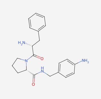 Nc1ccc(CNC(=O)[C@@H]2CCCN2C(=O)[C@H](N)Cc2ccccc2)cc1